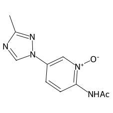 CC(=O)Nc1ccc(-n2cnc(C)n2)c[n+]1[O-]